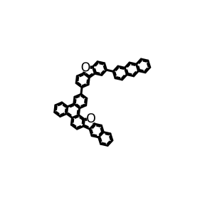 c1ccc2cc3cc(-c4ccc5oc6ccc(-c7ccc8c(c7)c7ccccc7c7ccc9c%10cc%11ccccc%11cc%10oc9c78)cc6c5c4)ccc3cc2c1